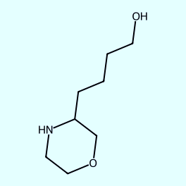 OCCCCC1COCCN1